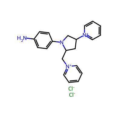 Nc1ccc(N2CC([n+]3ccccc3)CC2C[n+]2ccccc2)cc1.[Cl-].[Cl-]